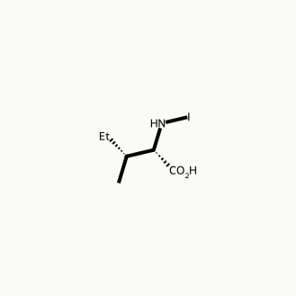 CC[C@@H](C)[C@H](NI)C(=O)O